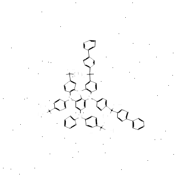 CC(C)(C)c1ccc(N(c2ccccc2)c2cc3c4c(c2)N(c2ccc(C(C)(C)c5ccc(-c6ccccc6)cc5)cc2)c2ccc(C(C)(C)c5ccc(-c6ccccc6)cc5)cc2B4c2cc(C(C)(C)C)ccc2N3c2ccc(C(C)(C)C)cc2)cc1